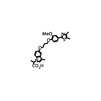 COc1cc(-c2nc(C)c(C)s2)ccc1OCCCOc1ccc2c(c1)c(C)cn2C(C)C(=O)O